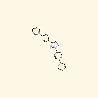 c1ccc(-c2ccc(-c3c[nH]c(-c4ccc(-c5ccccc5)cc4)n3)cc2)cc1